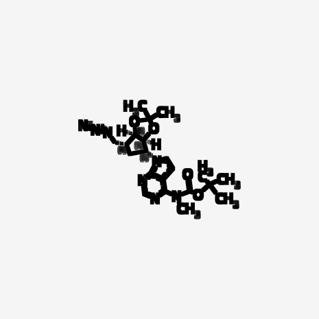 CN(C(=O)OC(C)(C)C)c1ncnc2c1ccn2[C@@H]1C[C@H](CN=[N+]=[N-])[C@H]2OC(C)(C)O[C@H]21